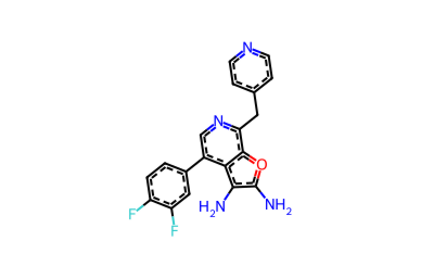 Nc1oc2c(Cc3ccncc3)ncc(-c3ccc(F)c(F)c3)c2c1N